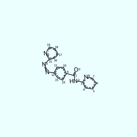 O=C(Nc1ccccn1)c1ccc(/N=N\c2ccccn2)cc1